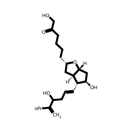 C=C(CCC)C(O)CC=C[C@@H]1[C@H]2C[C@H](CCCCC(=O)CO)O[C@@H]2C[C@H]1O